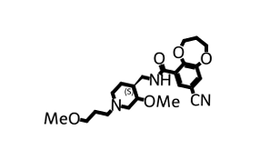 COCCCN1CC[C@@H](CNC(=O)c2cc(C#N)cc3c2OCCCO3)C(OC)C1